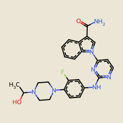 CC(O)N1CCN(c2ccc(Nc3nccc(-n4cc(C(N)=O)c5ccccc54)n3)cc2F)CC1